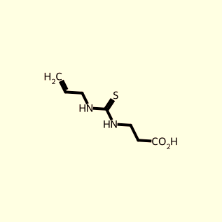 C=CCNC(=S)NCCC(=O)O